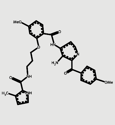 COc1ccc(C(=O)c2nccc(NC(=O)c3ccc(OC)cc3OCCCNC(=O)c3[nH]ccc3C)c2N)cc1